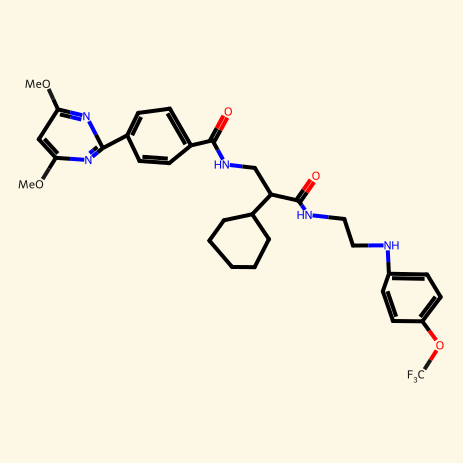 COc1cc(OC)nc(-c2ccc(C(=O)NCC(C(=O)NCCNc3ccc(OC(F)(F)F)cc3)C3CCCCC3)cc2)n1